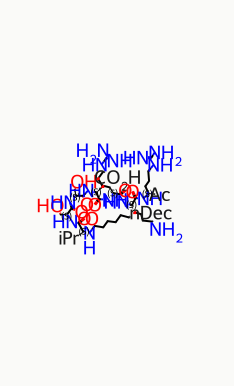 CCCCCCCCCCCCCCCC(=O)N[C@H](C(=O)N[C@@H](CO)C(=O)N[C@@H](CO)C(=O)N[C@@H](CCCNC(=N)N)C(=O)N[C@@H](CCC(=O)O)C(=O)N[C@@H](CCCCN)C(=O)N[C@@H](CCCNC(=N)N)C(C)=O)C(C)C